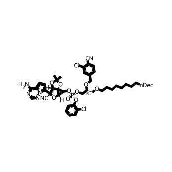 CCCCCCCCCCCCCCCCCCOC[C@H](COP(=O)(Oc1ccccc1Cl)OC1[C@H]2O[C@@](C#N)(c3ccc4c(N)ncnn34)[C@@H]3OC(C)(C)O[C@]123)OCc1ccc(C#N)c(Cl)c1